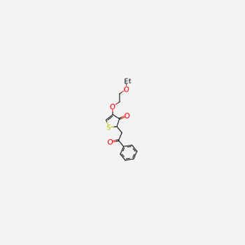 CCOCCOC1=CSC(CC(=O)c2ccccc2)C1=O